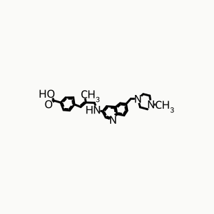 CC(=Cc1ccc(C(=O)O)cc1)CNc1cnc2ccc(CN3CCN(C)CC3)cc2c1